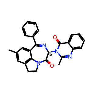 Cc1cc2c3c(c1)C(c1ccccc1)=N[C@@H](n1c(C)nc4ccccc4c1=O)C(=O)N3CC2